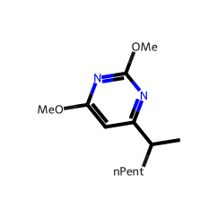 CCCCCC(C)c1cc(OC)nc(OC)n1